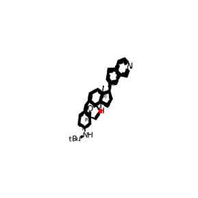 CC(C)(C)N[C@@H]1CCC2=CC3=CC[C@]4(C)C(c5ccc6ccncc6c5)CC[C@H]4[C@@]34CC[C@]2(C1)O4